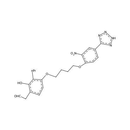 CCCc1c(OCCCCOc2ccc(-c3nn[nH]n3)cc2[N+](=O)[O-])ccc(CC=O)c1O